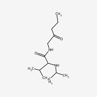 CCCC(=O)CNC(=O)C(NC(C)C)C(C)C